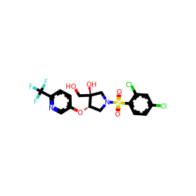 O=S(=O)(c1ccc(Cl)cc1Cl)N1C[C@H](Oc2ccc(C(F)(F)F)nc2)[C@](O)(CO)C1